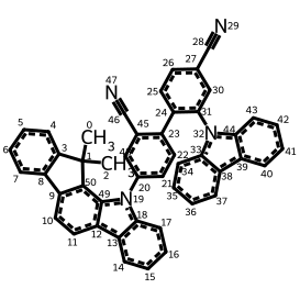 CC1(C)c2ccccc2-c2ccc3c4ccccc4n(-c4ccc(-c5ccc(C#N)cc5-n5c6ccccc6c6ccccc65)c(C#N)c4)c3c21